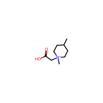 CC1CC[N+](C)(CC(=O)O)CC1